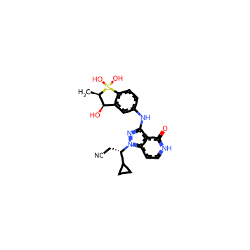 C[C@@H]1[C@H](O)c2cc(Nc3nn([C@@H](CC#N)C4CC4)c4cc[nH]c(=O)c34)ccc2S1(O)O